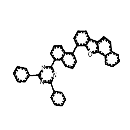 c1ccc(-c2nc(-c3ccccc3)nc(-c3cccc4c(-c5cccc6c5oc5c7ccccc7ccc65)cccc34)n2)cc1